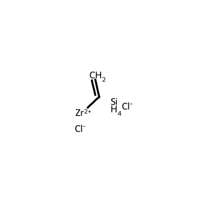 C=[CH][Zr+2].[Cl-].[Cl-].[SiH4]